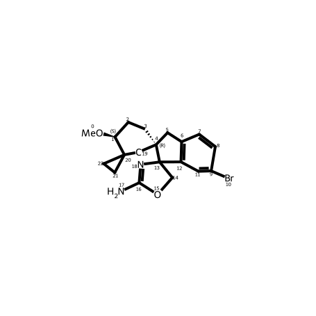 CO[C@H]1CC[C@@]2(Cc3ccc(Br)cc3C23COC(N)=N3)CC12CC2